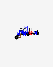 O=C(O)N(Cc1csc(-c2ccccc2)n1)c1ccnc(Nc2cccc(OCCCN3CCCCC3)c2)n1